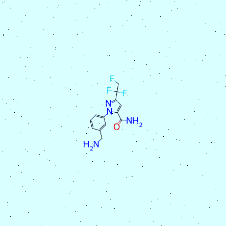 NCc1cccc(-n2nc(C(F)(F)CF)cc2C(N)=O)c1